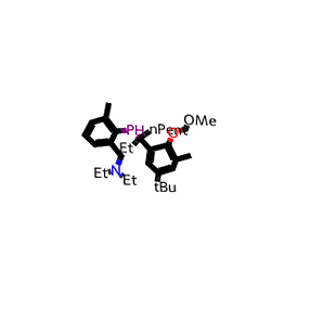 CCCCCC(CC)(Pc1c(C)cccc1CN(CC)CC)c1cc(C(C)(C)C)cc(C)c1OCOC